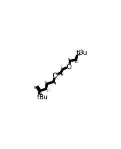 C=C(CCCOCCOCCC(C)(C)C)C(C)(C)C